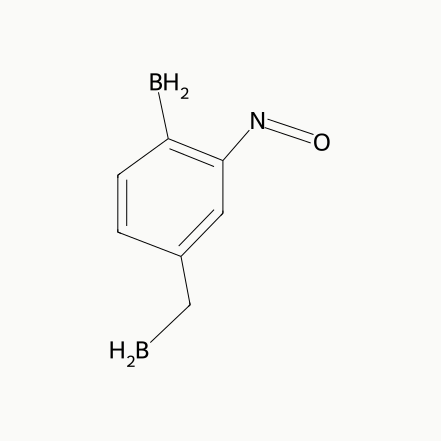 BCc1ccc(B)c(N=O)c1